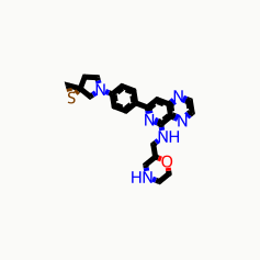 c1cnc2c(NCC3CNCCO3)nc(-c3ccc(N4CCC5(CS5)C4)cc3)cc2n1